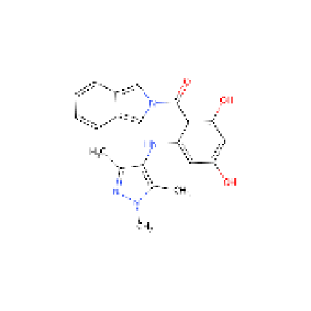 Cc1nn(C)c(C)c1Nc1cc(O)cc(O)c1C(=O)n1cc2ccccc2c1